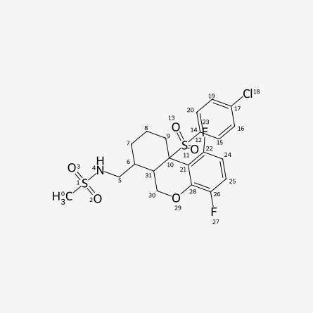 CS(=O)(=O)NCC1CCCC2(S(=O)(=O)c3ccc(Cl)cc3)c3c(F)ccc(F)c3OCC12